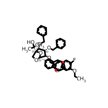 CCOc1ccc(Cc2cc([C@]34OC[C@](C(C)(C)O)(O3)[C@@H](OCc3ccccc3)[C@H](OCc3ccccc3)[C@H]4OCc3ccccc3)ccc2Cl)cc1F